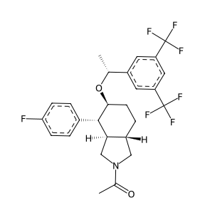 CC(=O)N1C[C@H]2CC[C@H](O[C@H](C)c3cc(C(F)(F)F)cc(C(F)(F)F)c3)[C@@H](c3ccc(F)cc3)[C@@H]2C1